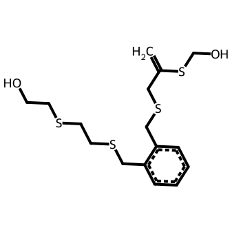 C=C(CSCc1ccccc1CSCCSCCO)SCO